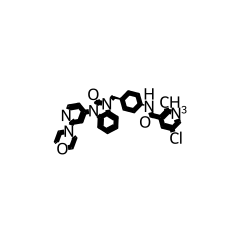 Cc1ncc(Cl)cc1C(=O)N[C@H]1CC[C@H](Cn2c(=O)n(-c3ccnc(N4CCOCC4)c3)c3ccccc32)CC1